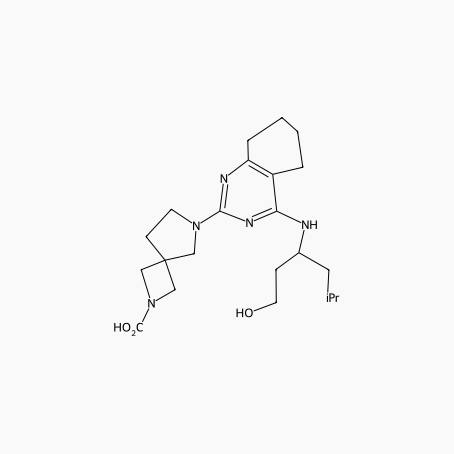 CC(C)CC(CCO)Nc1nc(N2CCC3(CN(C(=O)O)C3)C2)nc2c1CCCC2